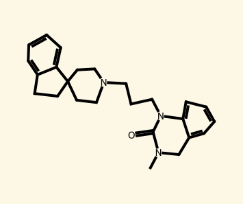 CN1Cc2ccccc2N(CCCN2CCC3(CCc4ccccc43)CC2)C1=O